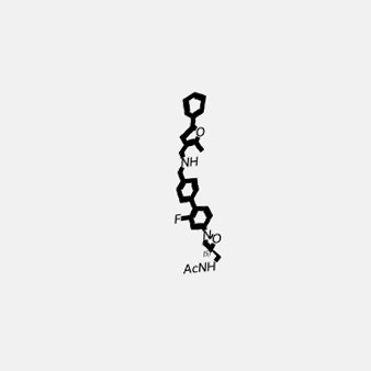 CC(=O)NC[C@H]1CN(c2ccc(-c3ccc(CNCc4cc(-c5ccccc5)oc4C)cc3)c(F)c2)O1